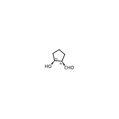 O=C[C@@H]1CCC[C@@H]1O